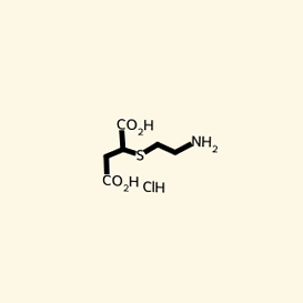 Cl.NCCSC(CC(=O)O)C(=O)O